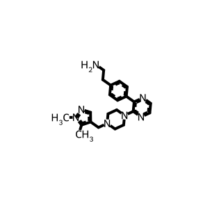 Cc1c(CN2CCN(c3nccnc3-c3ccc(CCN)cc3)CC2)cnn1C